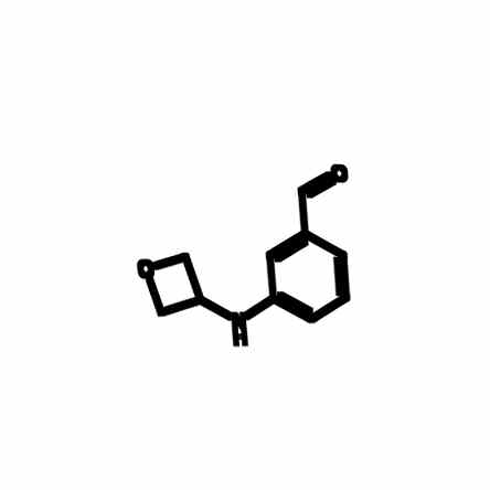 O=Cc1cccc(NC2COC2)c1